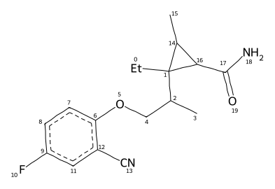 CCC1(C(C)COc2ccc(F)cc2C#N)C(C)C1C(N)=O